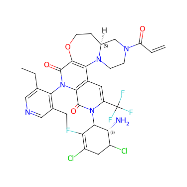 C=CC(=O)N1CCN2c3c(c(=O)n(-c4c(CC)cncc4CC)c4c(=O)n(C5C(F)=C(Cl)CC(Cl)[C@H]5N)c(C(F)(F)F)cc34)OCC[C@H]2C1